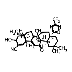 C[C@@H]1C(O)C(C#N)=C[C@]2(C)C3=CC(=O)[C@@H]4[C@@H]5CC(C)(C)CC[C@]5(c5nc(C(F)(F)F)no5)CC[C@@]4(C)[C@]3(C)CC[C@@H]12